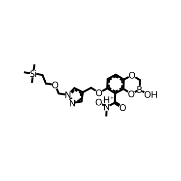 C[NH+]([O-])C(=O)c1c(OCc2cnn(COCC[Si](C)(C)C)c2)ccc2c1OB(O)CO2